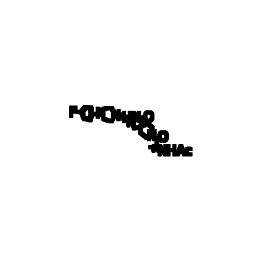 CC(=O)N[C@H](C)C(=O)N1CCC2(CC1)C[C@H](CCN1CCN(c3ccc(F)cc3)CC1)NC2=O